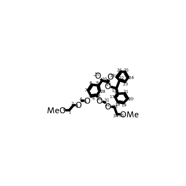 COCCOCOc1ccc(C([O])C(=O)OC(c2ccccc2)c2ccccc2)cc1OCOCCOC